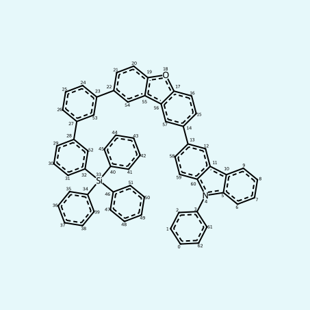 c1ccc(-n2c3ccccc3c3cc(-c4ccc5oc6ccc(-c7cccc(-c8cccc([Si](c9ccccc9)(c9ccccc9)c9ccccc9)c8)c7)cc6c5c4)ccc32)cc1